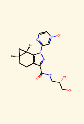 O=C(NC[C@H](O)CO)c1nn(-c2c[n+]([O-])ccn2)c2c1CC[C@@H]1C[C@H]21